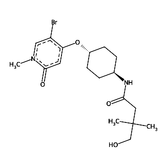 Cn1cc(Br)c(O[C@H]2CC[C@H](NC(=O)CC(C)(C)CO)CC2)cc1=O